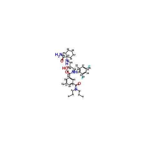 CCCN(CCC)C(=O)c1cc(C)cc(C(=O)N[C@@H](Cc2cc(F)cc(F)c2)[C@H](O)CNC2(C(N)=O)CCCCC2)c1